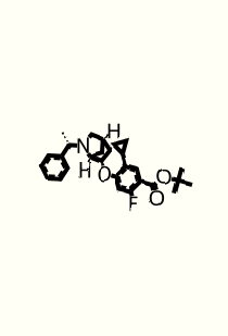 C[C@@H](c1ccccc1)N1C[C@H]2C[C@@H](Oc3cc(F)c(C(=O)OC(C)(C)C)cc3C3CC3)[C@@H]1C2